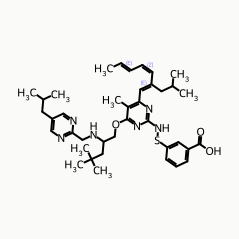 C/C=C/C=C\C(=C\c1nc(NSc2cccc(C(=O)O)c2)nc(OCC(CC(C)(C)C)NCc2ncc(CC(C)C)cn2)c1C)CC(C)C